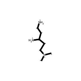 CN(C)CCC(N)CCN